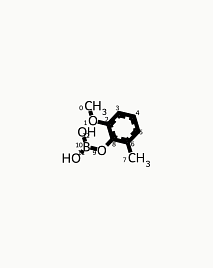 COc1cccc(C)c1OB(O)O